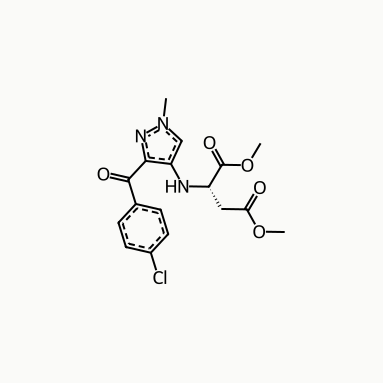 COC(=O)C[C@H](Nc1cn(C)nc1C(=O)c1ccc(Cl)cc1)C(=O)OC